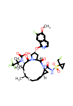 COc1cc2ccnc(O[C@@H]3C[C@H]4C(=O)N[C@]5(C(=O)NS(=O)(=O)C6(CF)CC6)C[C@H]5/C=C\CC[C@@H](C)C[C@@H](C)[C@H](N(C(=O)O)C(C)(C)C(F)(F)F)C(=O)N4C3)c2cc1F